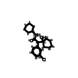 O=C(NC1CCCCC1)C(c1cccc(Cl)c1)C1(O)CCCCC1